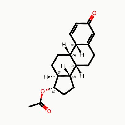 CC(=O)O[C@H]1CC[C@H]2[C@H]3CCC4=CC(=O)C=C[C@H]4[C@H]3CC[C@@H]21